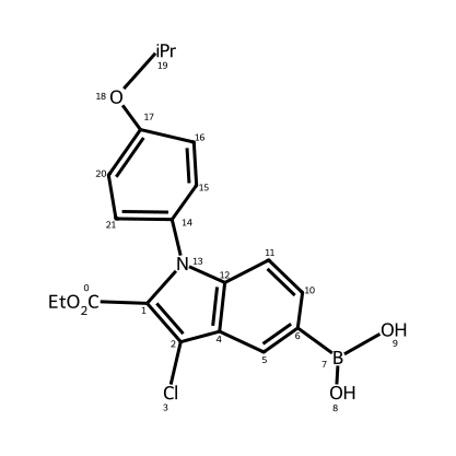 CCOC(=O)c1c(Cl)c2cc(B(O)O)ccc2n1-c1ccc(OC(C)C)cc1